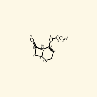 O=C(O)OC1=CCSC2CC(=O)N12